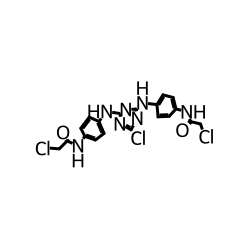 O=C(CCl)Nc1ccc(Nc2nc(Cl)nc(Nc3ccc(NC(=O)CCl)cc3)n2)cc1